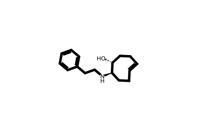 O[C@@H]1CC/C=C/CC[C@H]1NCCc1ccccc1